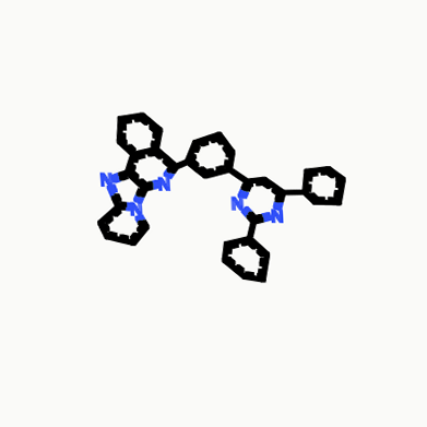 c1ccc(-c2cc(-c3cccc(-c4nc5c(nc6ccccn65)c5ccccc45)c3)nc(-c3ccccc3)n2)cc1